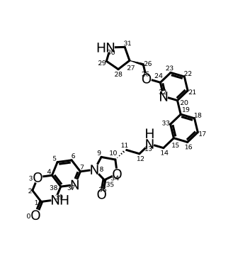 O=C1COc2ccc(N3C[C@H](CCNCc4cccc(-c5cccc(OC[C@H]6CCNC6)n5)c4)OC3=O)nc2N1